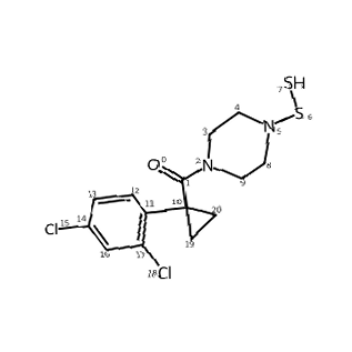 O=C(N1CCN(SS)CC1)C1(c2ccc(Cl)cc2Cl)CC1